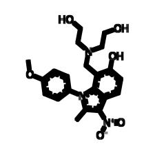 COc1ccc(-n2c(C)c([N+](=O)[O-])c3ccc(O)c(CN(CCO)CCO)c32)cc1